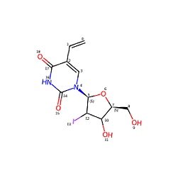 C=Cc1cn([C@H]2O[C@@H](CO)C(O)C2I)c(=O)[nH]c1=O